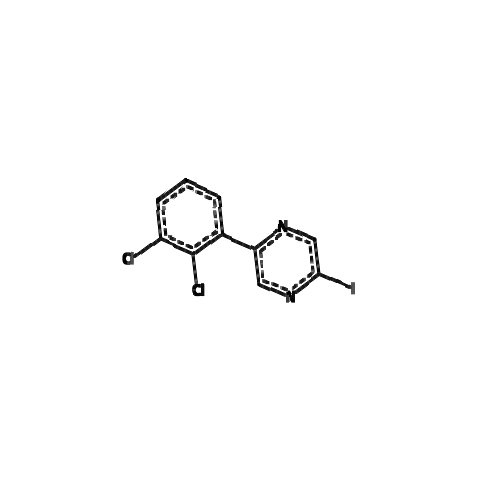 Clc1cccc(-c2cnc(I)cn2)c1Cl